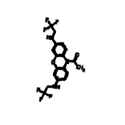 CC(=O)N1c2ccc(NCC(F)(F)F)cc2Oc2cc(NCC(F)(F)F)ccc21